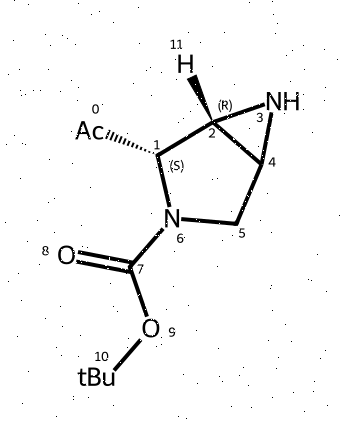 CC(=O)[C@@H]1[C@@H]2NC2CN1C(=O)OC(C)(C)C